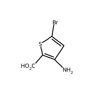 Nc1cc(Br)sc1C(=O)O